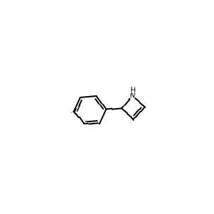 [c]1ccc(C2C=CN2)cc1